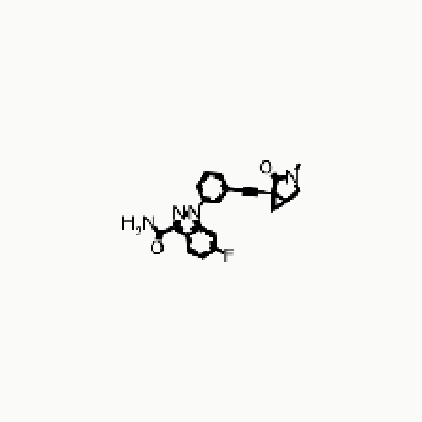 CN1CC2C[C@]2(C#Cc2cccc(-n3nc(C(N)=O)c4ccc(F)cc43)c2)C1=O